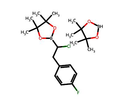 CC1(C)OB(C(Cl)Cc2ccc(F)cc2)OC1(C)C.CC1(C)OBOC1(C)C